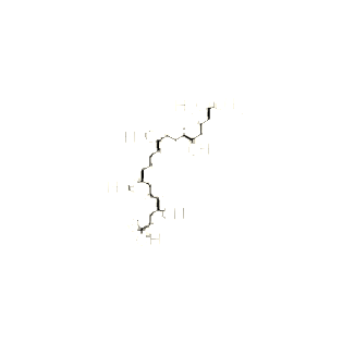 CC(C)=CCCC(C)=CCCC(C)=CCCC=C(C)CCC=C(C)CCC(=O)O